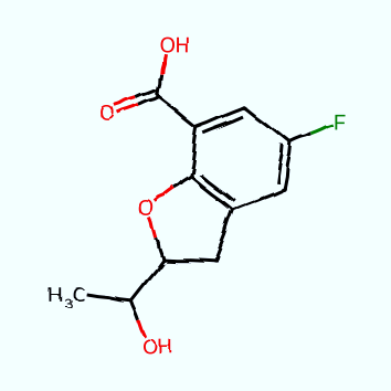 CC(O)C1Cc2cc(F)cc(C(=O)O)c2O1